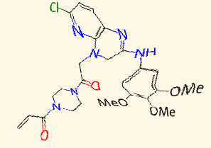 C=CC(=O)N1CCN(C(=O)CN2CC(Nc3cc(OC)c(OC)c(OC)c3)=Nc3ccc(Cl)nc32)CC1